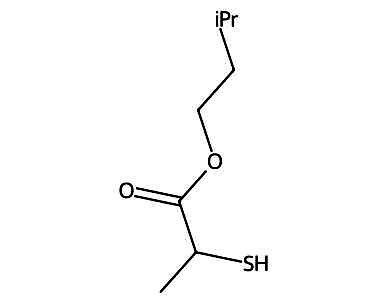 CC(C)CCOC(=O)C(C)S